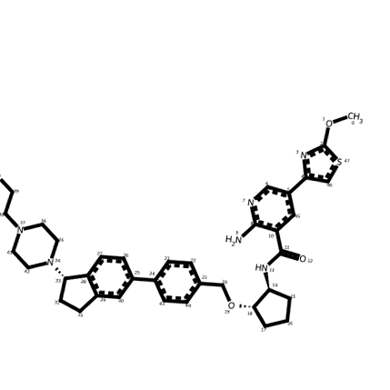 COc1nc(-c2cnc(N)c(C(=O)N[C@H]3CCC[C@@H]3OCc3ccc(-c4ccc5c(c4)CC[C@@H]5N4CCN(CCO)CC4)cc3)c2)cs1